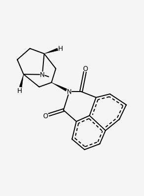 CN1[C@@H]2CC[C@H]1C[C@H](N1C(=O)c3cccc4cccc(c34)C1=O)C2